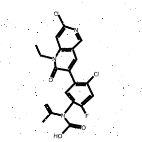 C=C(C)N(C(=O)O)c1cc(-c2cc3cnc(Cl)cc3n(CC)c2=O)c(Cl)cc1F